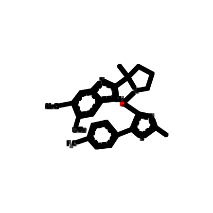 COc1cc2nc(C3(C)CCCN3C(=O)c3nc(C)sc3-c3ccc(C(F)(F)F)cc3)[nH]c2cc1OC